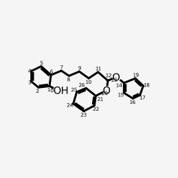 Oc1ccccc1CCCCCC(Oc1ccccc1)Oc1ccccc1